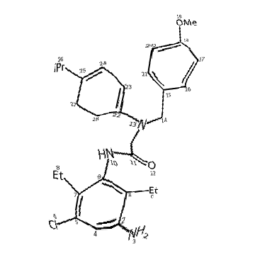 CCc1c(N)cc(Cl)c(CC)c1NC(=O)N(Cc1ccc(OC)cc1)C1=CC=C(C(C)C)CC1